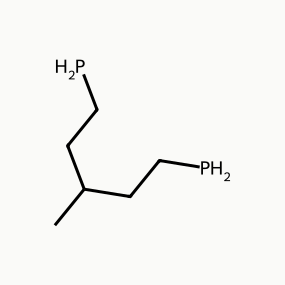 CC(CCP)CCP